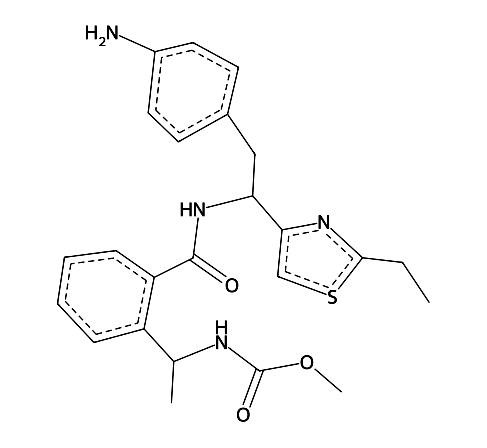 CCc1nc(C(Cc2ccc(N)cc2)NC(=O)c2ccccc2C(C)NC(=O)OC)cs1